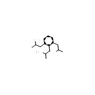 CC(O)Cc1cccc(CC(C)O)c1CC(C)O